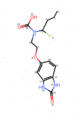 CCCC(F)N(CCOc1ccc2[nH]c(=O)[nH]c2c1)C(=O)O